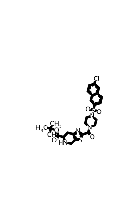 CC(C)(C)OC(=O)C1Cc2nc(C(=O)N3CCN(S(=O)(=O)c4ccc5cc(Cl)ccc5c4)CC3)sc2CN1